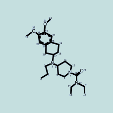 CCCN(C1CCN(C(=O)N(CC)CC)CC1)C1CCc2cc(OC)c(OC)cc2C1